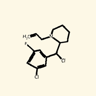 C=CCN1CCCCC1C(Cl)c1cc(F)cc(Cl)c1